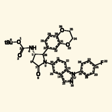 CC(C)(C)OC(=O)N[C@H]1CC(=O)N(c2ccc3c(cnn3-c3ccc(F)cc3)c2)C1c1ccc2c(c1)OCCO2